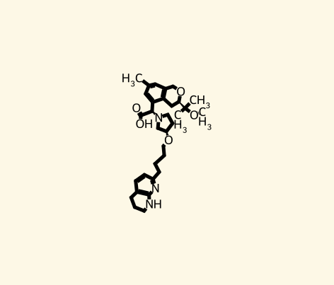 COC(C)(C)[C@H]1Cc2c(cc(C)cc2[C@H](C(=O)O)N2CC[C@@H](OCCCCc3ccc4c(n3)NCCC4)C2)CO1